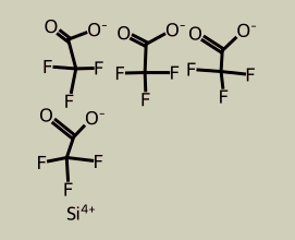 O=C([O-])C(F)(F)F.O=C([O-])C(F)(F)F.O=C([O-])C(F)(F)F.O=C([O-])C(F)(F)F.[Si+4]